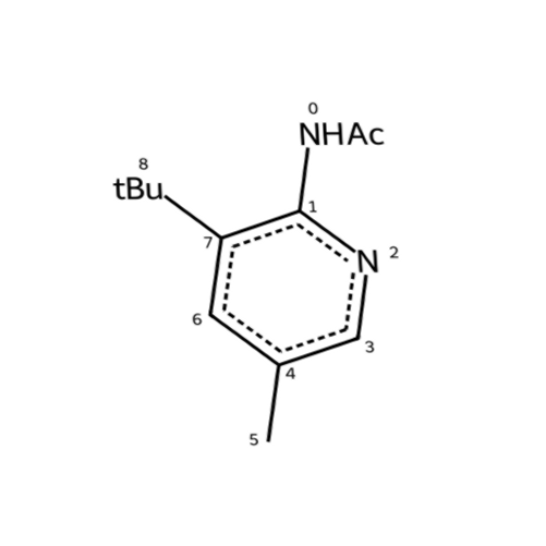 CC(=O)Nc1ncc(C)cc1C(C)(C)C